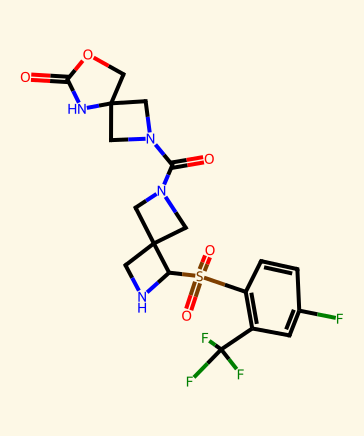 O=C1NC2(CO1)CN(C(=O)N1CC3(CNC3S(=O)(=O)c3ccc(F)cc3C(F)(F)F)C1)C2